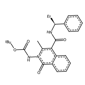 CC[C@H](NC(=O)c1c(C)n(NC(=O)OC(C)(C)C)c(=O)c2ccccc12)c1ccccc1